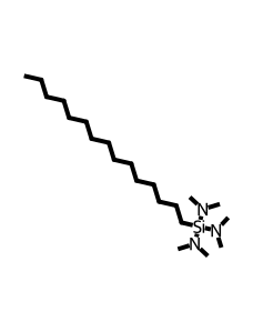 CCCCCCCCCCCCCCC[Si](N(C)C)(N(C)C)N(C)C